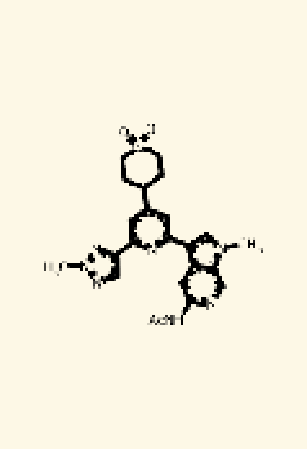 CC(=O)Nc1cc2c(-c3cc(C4CCS(=O)(=O)CC4)cc(-c4cnn(C)n4)n3)cn(C)c2cn1